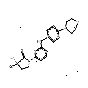 CC(C)[C@@]1(C#N)CCN(c2ccnc(Nc3ccc(N4CCOCC4)cc3)n2)C1=O